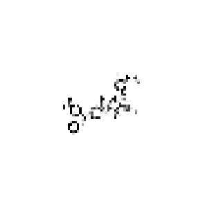 Nc1cc(Oc2ncn(CC3(O)CCN(C(=O)[C@@H]4CCC(F)(F)C[C@H]4c4ccccc4)CC3)c(=O)c2N)ccc1F